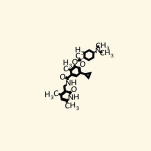 Cc1cc(C)c(CNC(=O)c2cc(C3CC3)c3c(c2C)OC(C)([C@H]2CC[C@H](N(C)C)CC2)O3)c(=O)[nH]1